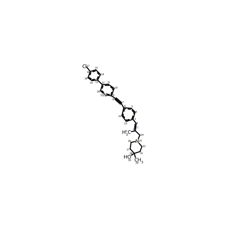 C/C(=C\c1ccc(C#Cc2ccc(-c3ccc(Cl)cc3)cn2)cc1)CN1CCC(C)(O)CC1